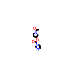 CC(=O)N1CCC(OC(=O)n2ccnc2)C1